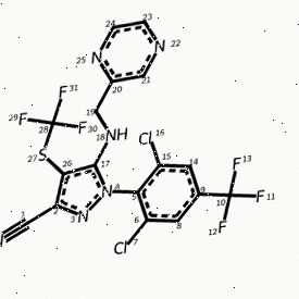 N#Cc1nn(-c2c(Cl)cc(C(F)(F)F)cc2Cl)c(NCc2cnccn2)c1SC(F)(F)F